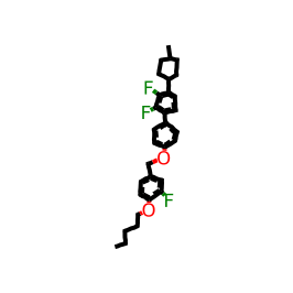 CCCCCOc1ccc(COc2ccc(-c3ccc(C4CCC(C)CC4)c(F)c3F)cc2)cc1F